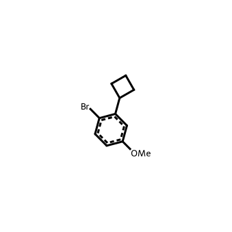 COc1ccc(Br)c(C2CCC2)c1